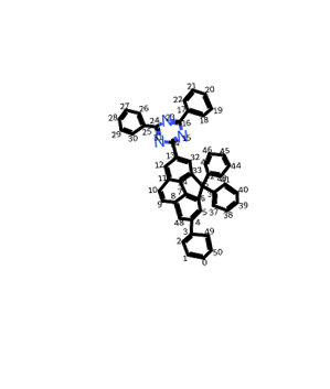 c1ccc(-c2cc3c4c(ccc5cc(-c6nc(-c7ccccc7)nc(-c7ccccc7)n6)cc(c54)C3(c3ccccc3)c3ccccc3)c2)cc1